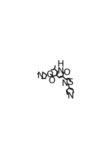 CC(C)c1[nH]c(=O)c(-c2csc(-c3ccncc3)n2)cc1C(=O)OC1CCN(C)C1